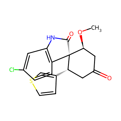 CO[C@H]1CC(=O)C[C@H](c2ccsc2)[C@]12C(=O)Nc1cc(Cl)ccc12